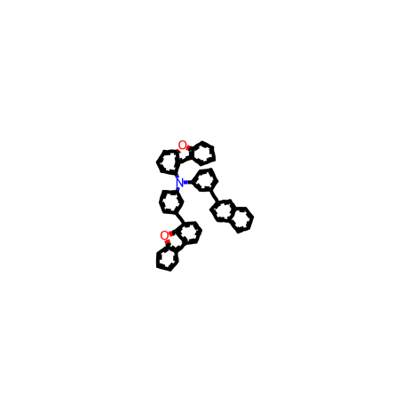 c1cc(-c2ccc3ccccc3c2)cc(N(c2cccc(-c3cccc4c3oc3ccccc34)c2)c2cccc3oc4ccccc4c23)c1